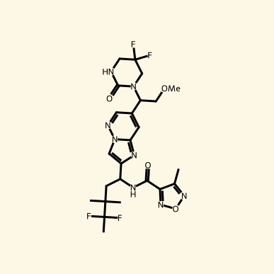 COCC(c1cnn2cc(C(CC(C)(C)C(C)(F)F)NC(=O)c3nonc3C)nc2c1)N1CC(F)(F)CNC1=O